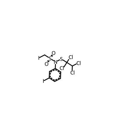 O=S(=O)(CI)N(SC(Cl)(Cl)C(Cl)Cl)c1cccc(I)c1